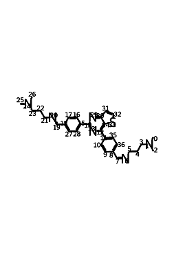 CN(C)CCC/N=C\c1ccc(-c2nc(-c3ccc(/C=N/CCCN(C)C)cc3)nc3ccsc23)cc1